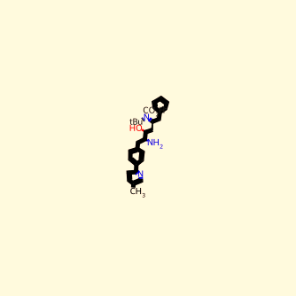 Cc1ccc(-c2ccc(C[C@H](N)[C@@H](O)C[C@H](Cc3ccccc3)N(C(=O)O)C(C)(C)C)cc2)nc1